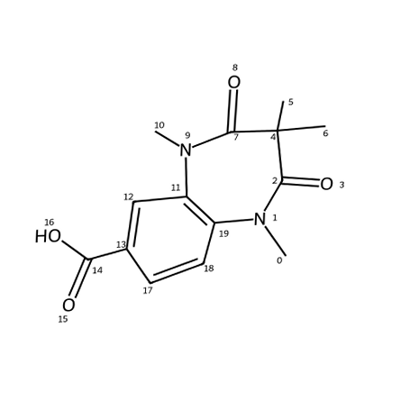 CN1C(=O)C(C)(C)C(=O)N(C)c2cc(C(=O)O)ccc21